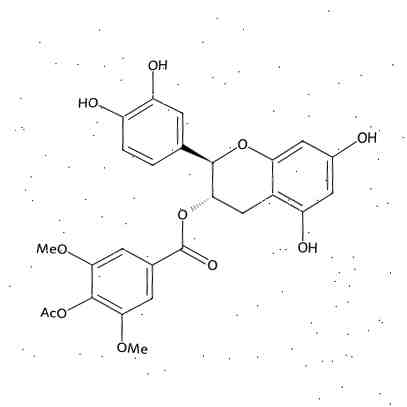 COc1cc(C(=O)O[C@H]2Cc3c(O)cc(O)cc3O[C@@H]2c2ccc(O)c(O)c2)cc(OC)c1OC(C)=O